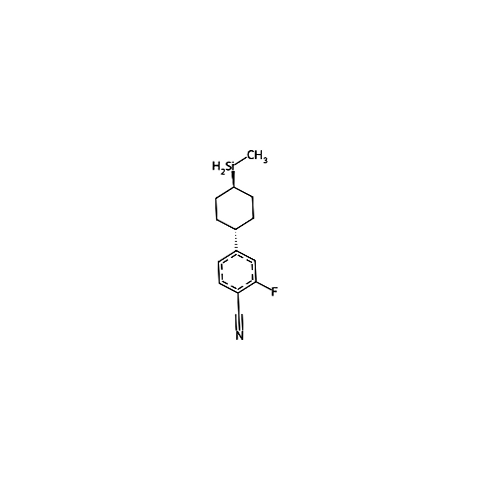 C[SiH2][C@H]1CC[C@H](c2ccc(C#N)c(F)c2)CC1